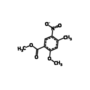 COC(=O)c1cc([N+](=O)[O-])c(C)cc1OC